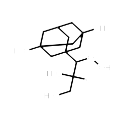 CCC(C)(C)C(OO)C12CC3CC(C)(CC(C)(C3)C1)C2